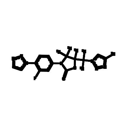 [3H]c1cn(C([3H])([3H])C2([3H])OC(=O)N(c3ccc(-n4ccnn4)c(F)c3)C2([3H])[3H])nn1